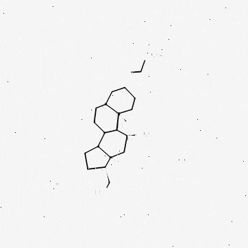 COCO[C@@H]1CC[C@]2(C)C3C(CC[C@H]2C1)C1CC[C@H](CO)[C@]1(C(C)=O)C[C@@H]3OC